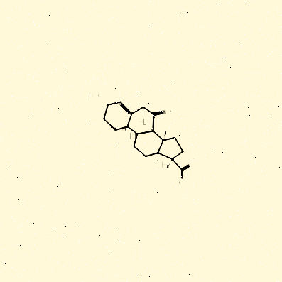 CC(=O)[C@@]1(O)CC[C@H]2[C@@H]3C(=O)CC4=C[C@@H](O)CC[C@]4(C)[C@H]3CC[C@@]21C